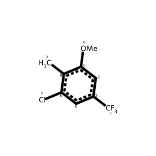 COc1cc(C(F)(F)F)cc(Cl)c1C